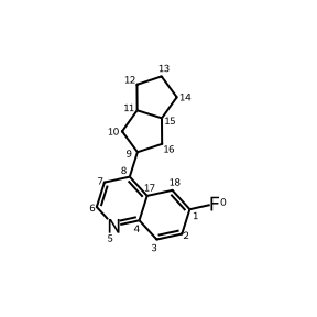 Fc1ccc2nccc(C3CC4CCCC4C3)c2c1